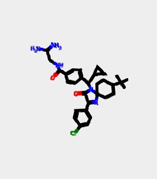 CC(C)(C)C1CCC2(CC1)N=C(c1ccc(Cl)cc1)C(=O)N2C(c1ccc(C(=O)NCC(N)N)cc1)C1CC1